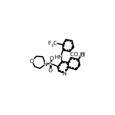 O=C(O)c1cccc(C(F)(F)F)c1Nc1c(S(=O)(=O)N2CCOCC2)cnc2ccc(Cl)cc12